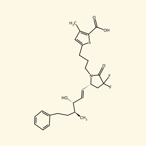 Cc1cc(CCCN2C(=O)C(F)(F)C[C@@H]2/C=C/[C@@H](O)[C@@H](C)CCc2ccccc2)sc1C(=O)O